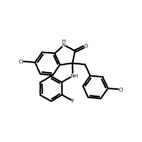 O=C1Nc2cc(Cl)ccc2C1(Cc1cccc(Cl)c1)Nc1ccccc1F